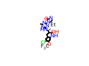 CC[C@H]1CN(C)C(=O)N1c1nc(C)nc(N[C@@H](C)C2=Cc3cc(Cl)c(OC(F)(F)F)cc3NC2O)n1